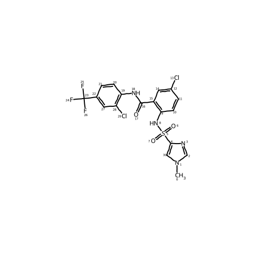 Cn1cnc(S(=O)(=O)Nc2ccc(Cl)cc2C(=O)Nc2ccc(C(F)(F)F)cc2Cl)c1